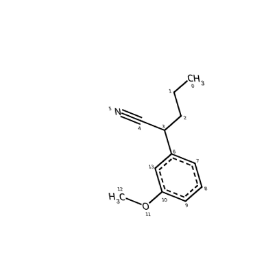 CCCC(C#N)c1cccc(OC)c1